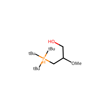 COC(CO)C[PH](C(C)(C)C)(C(C)(C)C)C(C)(C)C